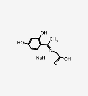 C/C(=N\CC(=O)O)c1ccc(O)cc1O.[NaH]